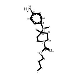 CCCCOC(=O)N1CCC(C)(N(C)c2ccc(N)cc2)CC1